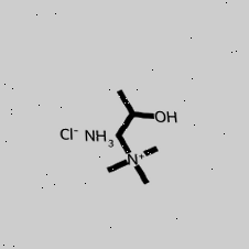 CC(O)C[N+](C)(C)C.N.[Cl-]